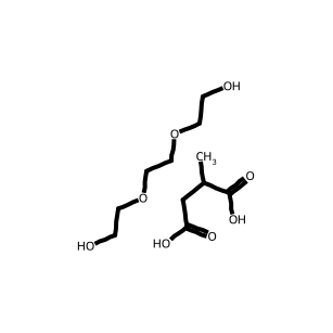 CC(CC(=O)O)C(=O)O.OCCOCCOCCO